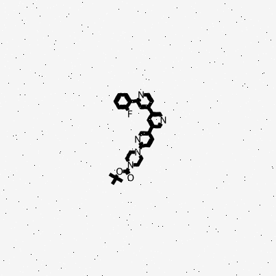 CC(C)(C)OC(=O)N1CCN(c2ccc(-c3cncc(-c4ccnc(-c5ccccc5F)c4)c3)cn2)CC1